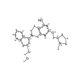 COCOc1cc(N2CCc3c(O)nc(OCC4CCCN4C)nc3C2)c2ccccc2c1